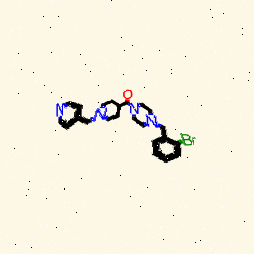 O=C(C1CCN(Cc2ccncc2)CC1)N1CCN(Cc2ccccc2Br)CC1